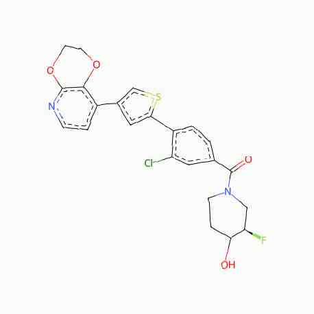 O=C(c1ccc(-c2cc(-c3ccnc4c3OCCO4)cs2)c(Cl)c1)N1CCC(O)[C@H](F)C1